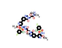 CNC(=O)[C@@H](Cn1cnc2ccc(-c3cnc(OC)c(N(CNC(=O)[C@@H](Cn4cnc5ccc(-c6cnc(OC)c(NS(=O)(=O)c7ccc(F)cc7Cl)c6)cc5c4=O)OC)S(=O)(=O)c4ccc(F)cc4Cl)c3)cc2c1=O)OC